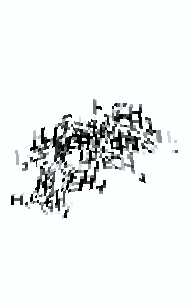 Cc1cccc(C)c1-c1cc(C2CCCCC2)cc2c1nc1n2c2c3c4cc(C(C)(C)C)ccc4n4c3c(c3c5cc(C(C)(C)C)ccc5n1c32)n1c2cc(C3CCCCC3)cc(-c3c(C)ccc(C5CC(C)(C)c6ccc7c(nc8n7c7c9c%10cc(C(C)(C)C)ccc%10n%10c9c(c9c%11cc(C(C)(C)C)ccc%11n8c97)n7c8ccc9c(c8nc7%10)C(C)(C)CCC9(C)C)c6C5(C)C)c3C)c2nc14